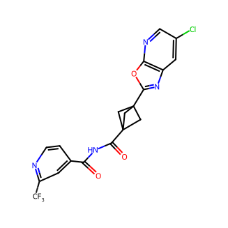 O=C(NC(=O)C12CC(c3nc4cc(Cl)cnc4o3)(C1)C2)c1ccnc(C(F)(F)F)c1